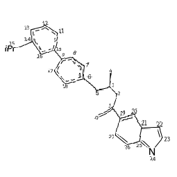 C=C(C[C@H](C)Cc1ccc(-c2cccc(C(C)C)c2)cc1)C1=CC2C=CN=C2C=C1